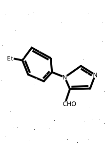 CCc1ccc(-n2cncc2C=O)cc1